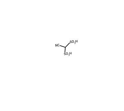 N#CC(S(=O)(=O)O)S(=O)(=O)O